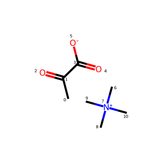 CC(=O)C(=O)[O-].C[N+](C)(C)C